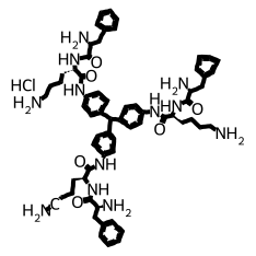 Cl.NCCCC[C@H](NC(=O)[C@@H](N)Cc1ccccc1)C(=O)Nc1ccc(C(c2ccc(NC(=O)[C@H](CCCCN)NC(=O)[C@@H](N)Cc3ccccc3)cc2)c2ccc(NC(=O)[C@H](CCCCN)NC(=O)[C@@H](N)Cc3ccccc3)cc2)cc1